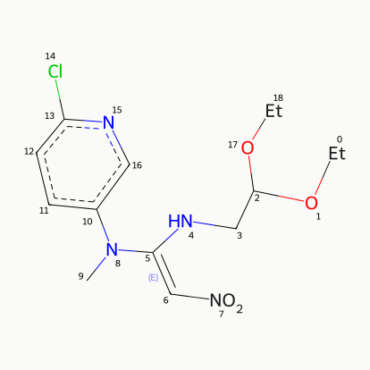 CCOC(CN/C(=C\[N+](=O)[O-])N(C)c1ccc(Cl)nc1)OCC